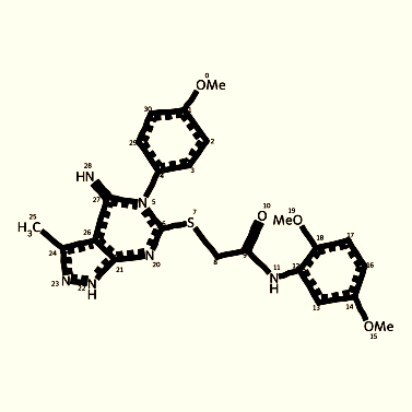 COc1ccc(-n2c(SCC(=O)Nc3cc(OC)ccc3OC)nc3[nH]nc(C)c3c2=N)cc1